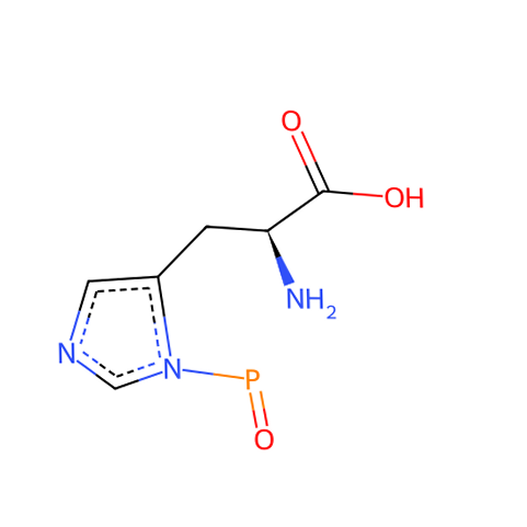 N[C@@H](Cc1cncn1P=O)C(=O)O